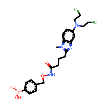 Cn1c(CCCC(=O)NOCc2ccc(B(O)O)cc2)nc2cc(N(CCCl)CCCl)ccc21